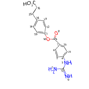 N=C(N)Nc1ccc(C(=O)Oc2ccc(CCC(=O)O)cc2)cc1